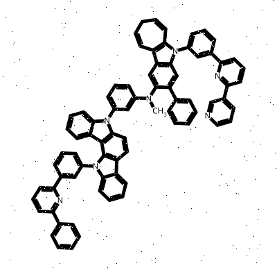 CN(c1cccc(-n2c3ccccc3c3c2ccc2c4ccccc4n(-c4cccc(-c5cccc(-c6ccccc6)n5)c4)c23)c1)c1cc2c3c(n(-c4cccc(-c5cccc(-c6cccnc6)n5)c4)c2cc1-c1ccccc1)C=CCC=C3